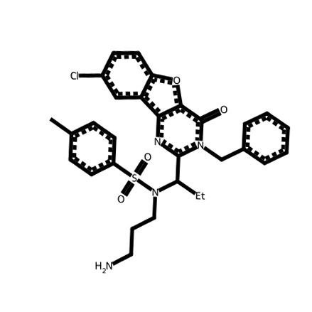 CCC(c1nc2c(oc3ccc(Cl)cc32)c(=O)n1Cc1ccccc1)N(CCCN)S(=O)(=O)c1ccc(C)cc1